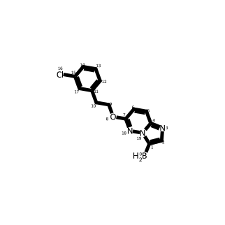 Bc1cnc2ccc(OCCc3cccc(Cl)c3)nn12